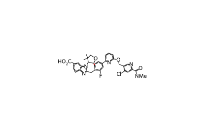 CNC(=O)c1cc(Cl)c(COc2cccc(-c3ccc(Cc4nc5ccc(C(=O)O)cc5n4C4COCC4(C)C)c(F)c3)n2)cn1